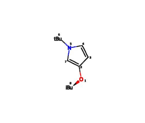 CC[C@H](C)Oc1ccn(C(C)(C)C)c1